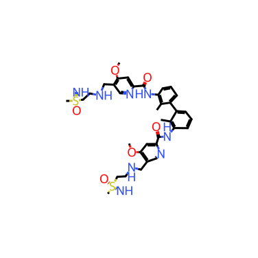 COc1cc(C(=O)Nc2cccc(-c3cccc(NC(=O)c4cc(OC)c(CNCCS(C)(=N)=O)cn4)c3C)c2C)ncc1CNCCS(C)(=N)=O